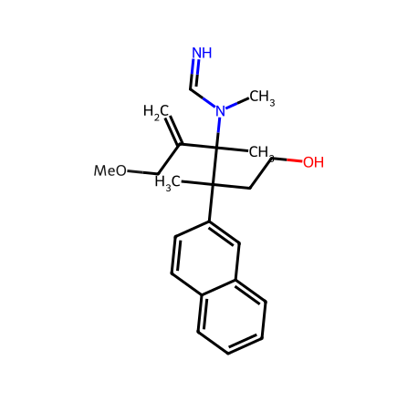 C=C(COC)C(C)(N(C)C=N)C(C)(CCO)c1ccc2ccccc2c1